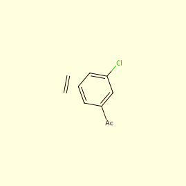 C=C.CC(=O)c1cccc(Cl)c1